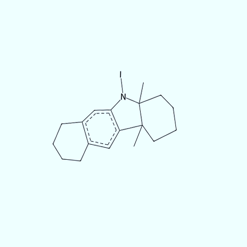 CC12CCCCC1(C)N(I)c1cc3c(cc12)CCCC3